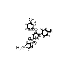 Cn1cnc(S(=O)(=O)N2C[C@H](Oc3cc(C(F)(F)F)ccn3)[C@@H](c3ccc(F)cc3)C2)c1